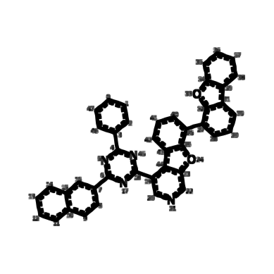 c1ccc(-c2nc(-c3ccc4ccccc4c3)nc(-c3cncc4oc5c(-c6cccc7c6oc6ccccc67)cccc5c34)n2)cc1